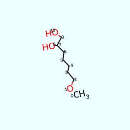 COCCCCCC(O)CO